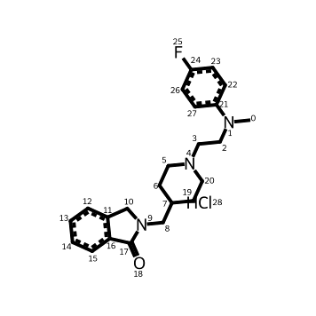 CN(CCN1CCC(CN2Cc3ccccc3C2=O)CC1)c1ccc(F)cc1.Cl